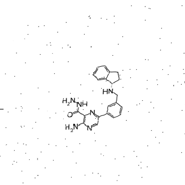 NNC(=O)c1nc(-c2cccc(CN[C@H]3CCc4ccccc43)c2)cnc1N